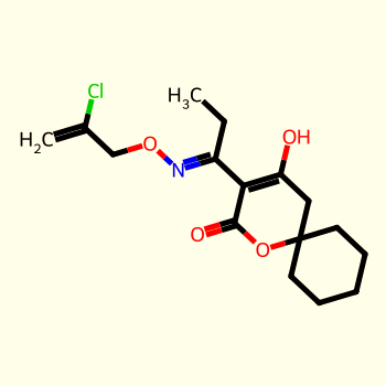 C=C(Cl)CON=C(CC)C1=C(O)CC2(CCCCC2)OC1=O